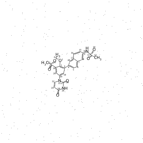 COc1c(-c2ccc3cc(NS(C)(=O)=O)ccc3c2)cc(-n2ccc(=O)[nH]c2=O)cc1S(C)(=O)=O